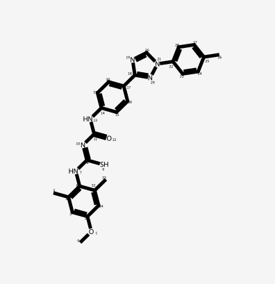 COc1cc(C)c(N/C(S)=N/C(=O)Nc2ccc(-c3ncn(-c4ccc(C)cc4)n3)cc2)c(C)c1